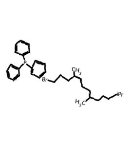 CC(C)CCCC(C)CCCC(C)CCCBr.c1ccc(P(c2ccccc2)c2ccccc2)cc1